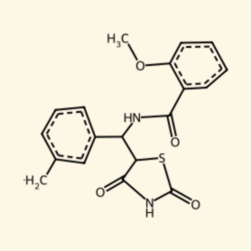 [CH2]c1cccc(C(NC(=O)c2ccccc2OC)C2SC(=O)NC2=O)c1